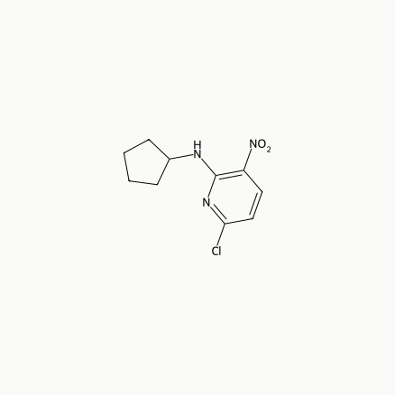 O=[N+]([O-])c1ccc(Cl)nc1NC1CCCC1